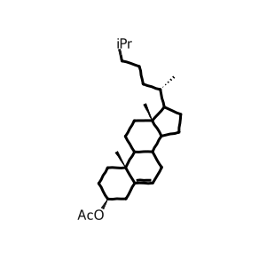 CC(=O)O[C@H]1CC[C@@]2(C)C(=CCC3C4CCC([C@@H](C)CCCC(C)C)[C@@]4(C)CCC32)C1